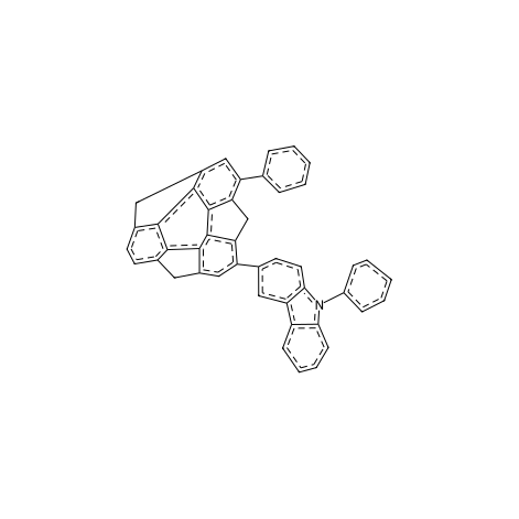 c1ccc(-c2cc3c4c5c(ccc6c5c5c(cc(-c7ccc8c(c7)c7ccccc7n8-c7ccccc7)c7c5c4c2C7)C6)C3)cc1